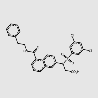 O=C(O)CN(c1ccc2c(C(=O)NCCc3ccccc3)cccc2c1)S(=O)(=O)c1cc(Cl)cc(Cl)c1